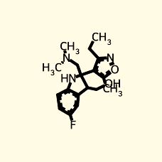 CCc1noc(C)c1C1(CN(C)C)Nc2ccc(F)cc2C1CO